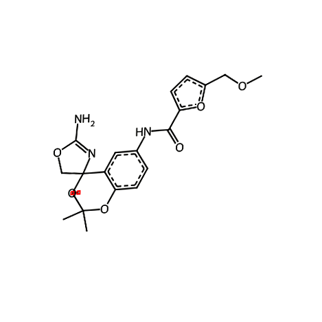 COCc1ccc(C(=O)Nc2ccc3c(c2)C2(COC(N)=N2)C2(COC2)C(C)(C)O3)o1